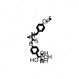 CN(/N=C/c1ccc(OP=S)cc1)[PH](=S)Oc1ccc(C(O)[PH](O)(O)O)cc1